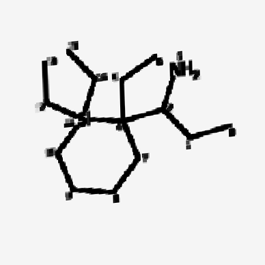 CCC(N)C1(CC)CCCC[Si]1(CC)CC